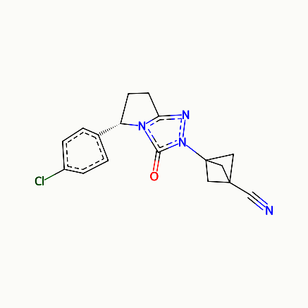 N#CC12CC(n3nc4n(c3=O)[C@H](c3ccc(Cl)cc3)CC4)(C1)C2